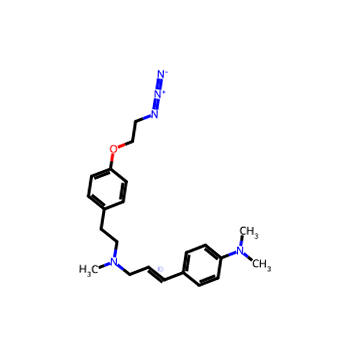 CN(C/C=C/c1ccc(N(C)C)cc1)CCc1ccc(OCCN=[N+]=[N-])cc1